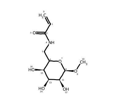 C=CC(=O)NCC1O[C@@H](OC)[C@@H](O)[C@@H](O)[C@H]1O